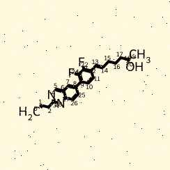 C=CCc1ncc2cc(-c3ccc(/C=C/CCCC(C)O)c(F)c3F)ccc2n1